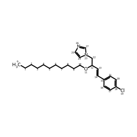 CCCCCCCCCCCOC(/C=C/c1ccc(Cl)cc1)Cn1ccnc1